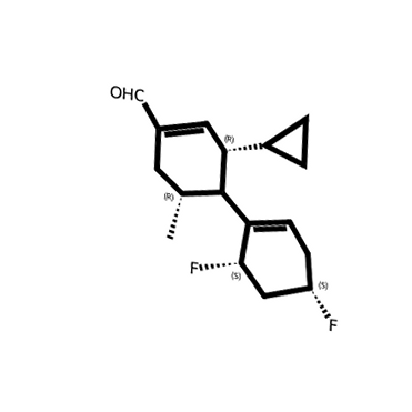 C[C@@H]1CC(C=O)=C[C@H](C2CC2)C1C1=CC[C@H](F)C[C@@H]1F